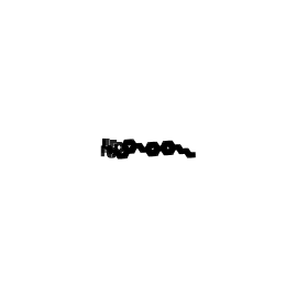 CCCCCc1ccc(-c2ccc(CCc3ccc4c(c3)CCC(OC(F)(F)F)O4)cc2)cc1